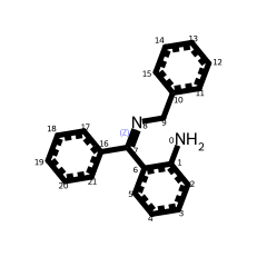 Nc1ccccc1/C(=N\Cc1ccccc1)c1ccccc1